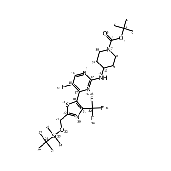 CC(C)(C)OC(=O)N1CCC(Nc2ncc(F)c(-c3sc(CO[Si](C)(C)C(C)(C)C)nc3C(F)(F)F)n2)CC1